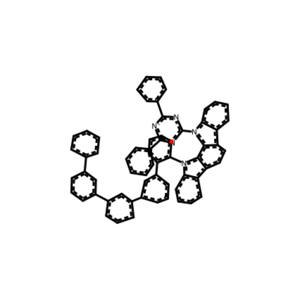 c1ccc(-c2cccc(-c3cccc(-c4cccc(-c5ccccc5-n5c6ccccc6c6ccc7c8ccccc8n(-c8nc(-c9ccccc9)nc(-c9ccccc9)n8)c7c65)c4)c3)c2)cc1